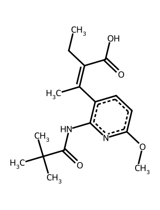 CCC(C(=O)O)=C(C)c1ccc(OC)nc1NC(=O)C(C)(C)C